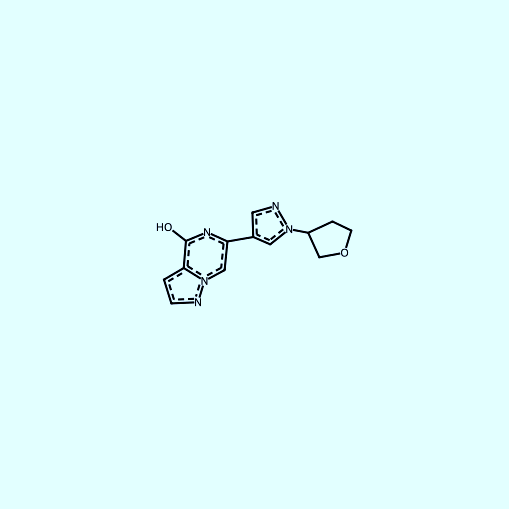 Oc1nc(-c2cnn(C3CCOC3)c2)cn2nccc12